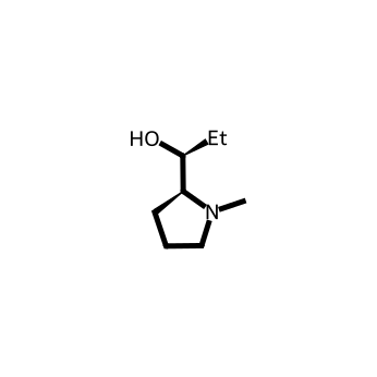 CC[C@H](O)[C@@H]1CCCN1C